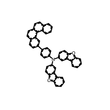 c1ccc2c(c1)ccc1ccc3ccc(-c4ccc(N(c5ccc6oc7ccccc7c6c5)c5ccc6oc7ccccc7c6c5)cc4)cc3c12